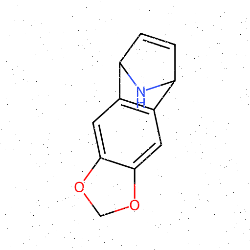 C1=CC2NC1c1cc3c(cc12)OCO3